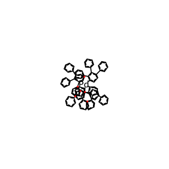 c1ccc(-c2cc[c]([Pd]([c]3ccc(-c4ccccc4)c(-c4ccccc4)c3-c3ccccc3)([c]3ccc(-c4ccccc4)c(-c4ccccc4)c3-c3ccccc3)[c]3ccc(-c4ccccc4)c(-c4ccccc4)c3-c3ccccc3)c(-c3ccccc3)c2-c2ccccc2)cc1